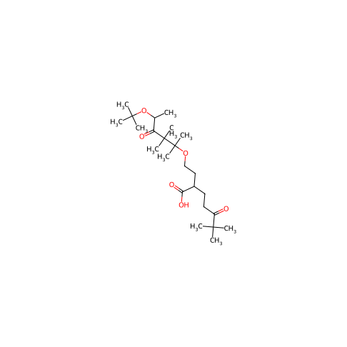 CC(OC(C)(C)C)C(=O)C(C)(C)C(C)(C)OCCC(CCC(=O)C(C)(C)C)C(=O)O